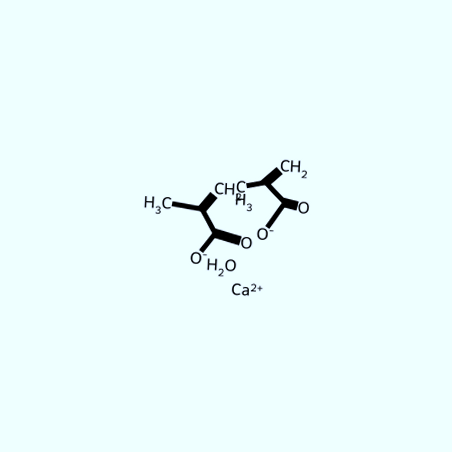 C=C(C)C(=O)[O-].C=C(C)C(=O)[O-].O.[Ca+2]